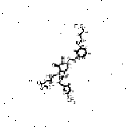 CS(=O)(=O)CC(=O)Nc1c2c(nn1Cc1ccc(C(F)(F)F)o1)C[C@H](CCc1cccc(OCCCC(F)(F)F)c1)NC2=O